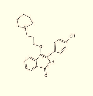 O=c1[nH]c(-c2ccc(O)cc2)c(OCCCN2CCCCC2)c2ccccc12